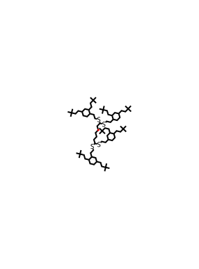 CC(C)(C)CCC1CCC(CCC(C)(C)C)C(CCSC(CCCCCC(SCCC2CCC(CCC(C)(C)C)CC2CCC(C)(C)C)SCCC2CCC(CCC(C)(C)C)CC2CCC(C)(C)C)SCCC2CCC(CCC(C)(C)C)C(CCC(C)(C)C)C2)C1